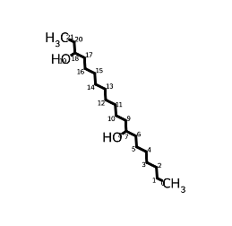 CCCCCCCC(O)CCCCCCCCCC(O)CC